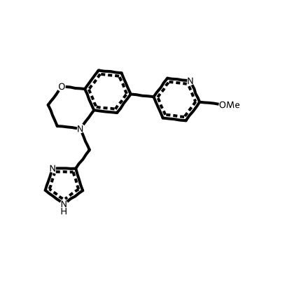 COc1ccc(-c2ccc3c(c2)N(Cc2c[nH]cn2)CCO3)cn1